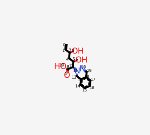 C=CC(O)CC(O)C(C(=O)O)N1Cc2ccccc2C=N1